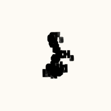 CCc1nc2ccc(Cl)cn2c1C(=O)NCc1ccc(N(C)C2CN(C3CCC(OC(F)(F)F)CC3)C2)cc1